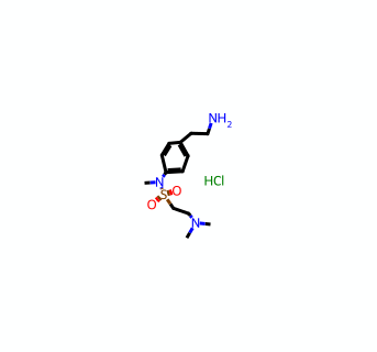 CN(C)CCS(=O)(=O)N(C)c1ccc(CCN)cc1.Cl